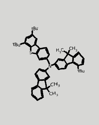 CC(C)(C)c1cc(C(C)(C)C)c2sc3cc(N(c4ccc5c(c4)C(C)(C)c4ccccc4-5)c4ccc5c(c4)C(C)(C)c4cccc(C(C)(C)C)c4-5)ccc3c2c1